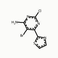 Nc1nc(Cl)nc(-c2nccs2)c1Br